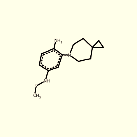 CSNc1ccc(N)c(N2CCC3(CC2)CC3)c1